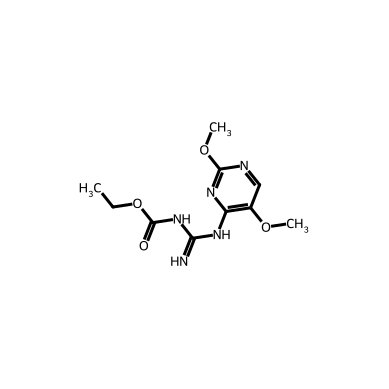 CCOC(=O)NC(=N)Nc1nc(OC)ncc1OC